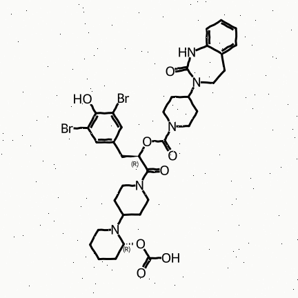 O=C(O)O[C@@H]1CCCCN1C1CCN(C(=O)[C@@H](Cc2cc(Br)c(O)c(Br)c2)OC(=O)N2CCC(N3CCc4ccccc4NC3=O)CC2)CC1